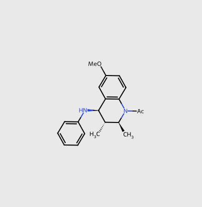 COc1ccc2c(c1)[C@H](Nc1ccccc1)[C@@H](C)[C@H](C)N2C(C)=O